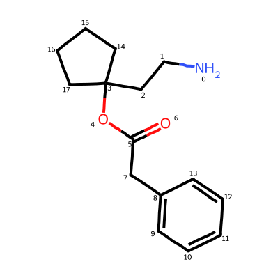 NCCC1(OC(=O)Cc2ccccc2)CCCC1